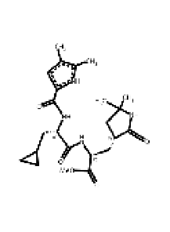 COC(=O)[C@H](C[C@@H]1CC(C)(C)NC1=O)NC(=O)[C@H](CC1CC1)NC(=O)c1cc(C)c(C)[nH]1